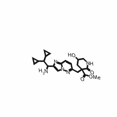 COC(=O)C1(Cc2ccc3nc(C(N)C(C4CC4)C4CC4)cn3n2)CC(O)CNC1=O